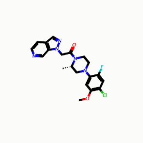 COc1cc(N2CCN(C(=O)Cn3ncc4ccncc43)[C@@H](C)C2)c(F)cc1Cl